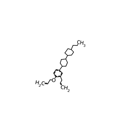 C=CCOc1ccc(C2CCC(C3CCC(CCC)CC3)CC2)cc1CC=C